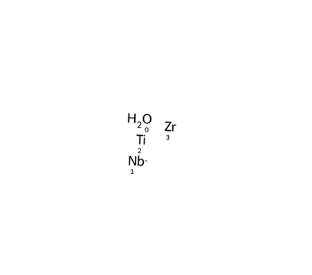 O.[Nb].[Ti].[Zr]